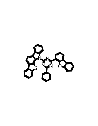 c1ccc(-c2nc(-c3cccc4c3oc3ccccc34)nc(-n3c4ccccc4c4ccc5c6ccccc6sc5c43)n2)cc1